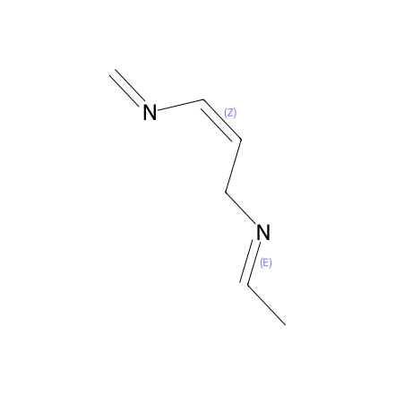 C=N/C=C\C/N=C/C